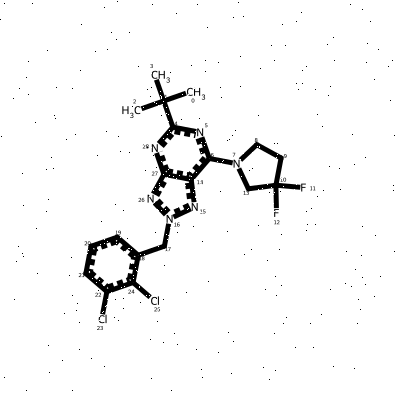 CC(C)(C)c1nc(N2CCC(F)(F)C2)c2nn(Cc3cccc(Cl)c3Cl)nc2n1